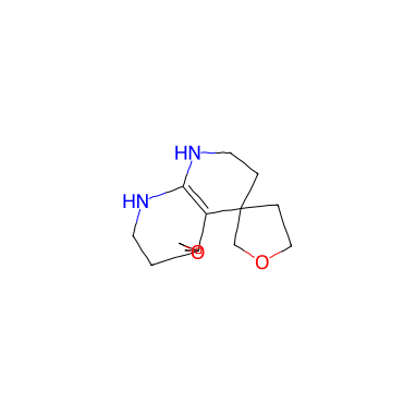 C1CC2(CCOC2)C2=C(N1)NCCC21COC1